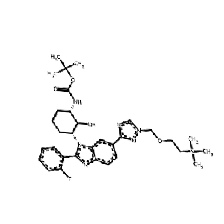 CC(C)(C)OC(=O)N[C@H]1CCC[C@@H](n2c(-c3ccccc3F)nc3ccc(-c4ncn(COCC[Si](C)(C)C)n4)cc32)[C@@H]1O